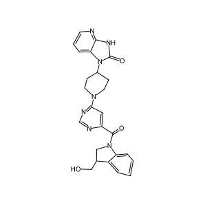 O=C(c1cc(N2CCC(n3c(=O)[nH]c4ncccc43)CC2)ncn1)N1CC(CO)c2ccccc21